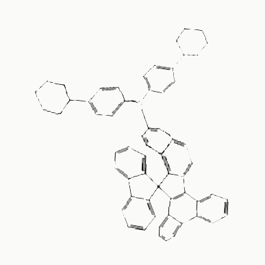 c1ccc2c(c1)-c1ccccc1C21c2c(ccc3cc(N(c4ccc(C5CCCCC5)cc4)c4ccc(C5CCCCC5)cc4)ccc23)-c2c1c1ccccc1c1ccccc21